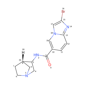 O=C(NC1CN2CC[C@H]1C2)c1ccc2nc(Br)cn2c1